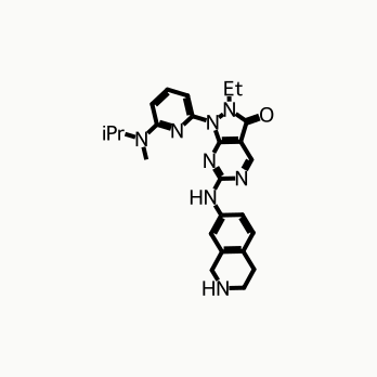 CCn1c(=O)c2cnc(Nc3ccc4c(c3)CNCC4)nc2n1-c1cccc(N(C)C(C)C)n1